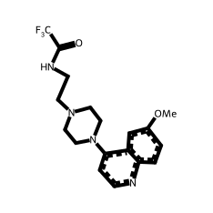 COc1ccc2nccc(N3CCN(CCNC(=O)C(F)(F)F)CC3)c2c1